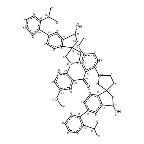 COc1cnc(N2CCC3(CC(O)c4cc(-c5ccccc5C(C)C)ccc43)C2)c(C(=O)c2nc(OC)cnc2N2CCC3(CC(O)c4cc(-c5ccccc5C(C)C)ccc43)C2)n1